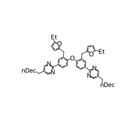 CCCCCCCCCCCc1cnc(-c2ccc(Oc3ccc(-c4ncc(CCCCCCCCCCC)cn4)cc3Cc3ccc(CC)o3)c(Cc3ccc(CC)o3)c2)nc1